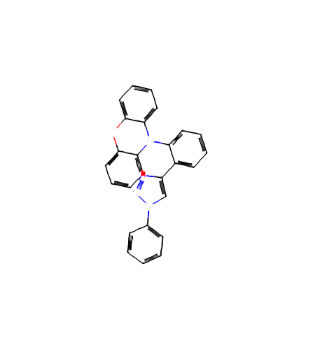 c1ccc(-n2cc(-c3ccccc3N3c4ccccc4Oc4ccccc43)nn2)cc1